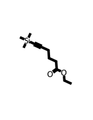 CCOC(=O)CCCC#C[Si](C)(C)C